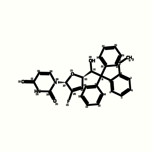 COc1ccccc1C(c1ccccc1)(c1ccccc1)C(O)[C@@H]1C=C(F)[C@H](n2ccc(=O)[nH]c2=O)O1